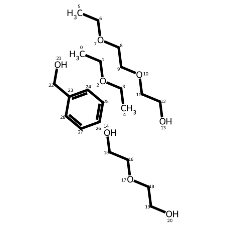 CCOCC.CCOCCOCCO.OCCOCCO.OCc1ccccc1